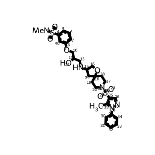 CNS(=O)(=O)c1cccc(OCC(O)CNC2COC3(CCN(S(=O)(=O)c4cnn(-c5ccccc5)c4C)CC3)C2)c1